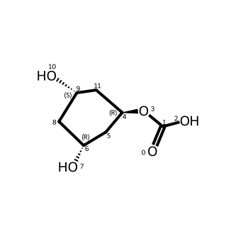 O=C(O)O[C@H]1C[C@H](O)C[C@H](O)C1